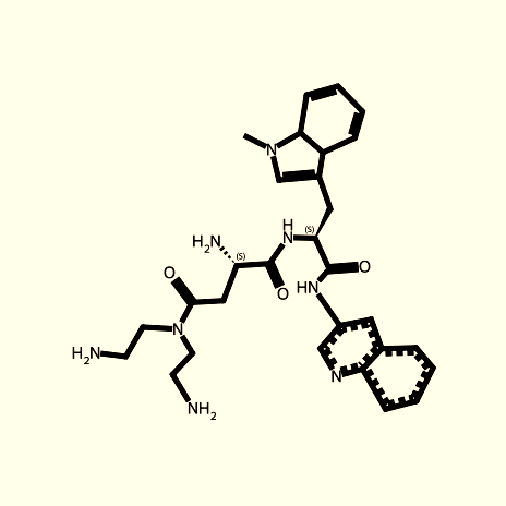 CN1C=C(C[C@H](NC(=O)[C@@H](N)CC(=O)N(CCN)CCN)C(=O)Nc2cnc3ccccc3c2)C2C=CC=CC21